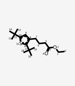 CCOC(=O)CCCc1cc(C(C)(C)C)sc1C(C)(C)C